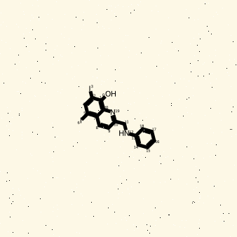 Oc1c(I)cc(I)c2ccc(CNc3ccccc3)nc12